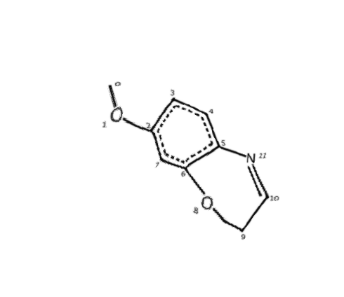 COc1ccc2c(c1)OCC=N2